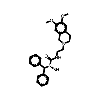 COc1cc2c(cc1OC)CN(CCNC(=O)N(S)C(c1ccccc1)c1ccccc1)CC2